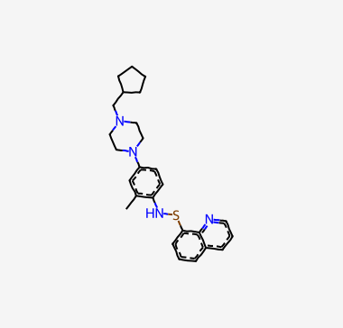 Cc1cc(N2CCN(CC3CCCC3)CC2)ccc1NSc1cccc2cccnc12